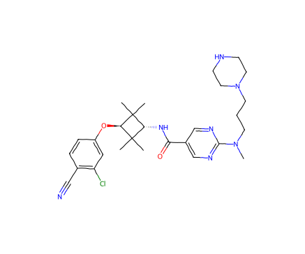 CN(CCCN1CCNCC1)c1ncc(C(=O)N[C@H]2C(C)(C)[C@H](Oc3ccc(C#N)c(Cl)c3)C2(C)C)cn1